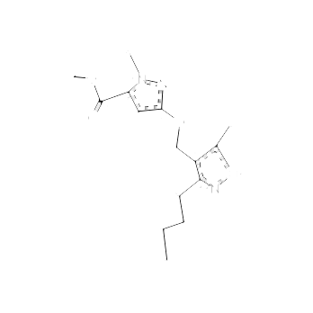 CCCCc1noc(C)c1COc1cc(C(=O)OC)n(C)n1